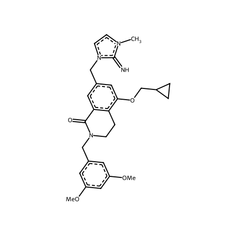 COc1cc(CN2CCc3c(OCC4CC4)cc(Cn4ccn(C)c4=N)cc3C2=O)cc(OC)c1